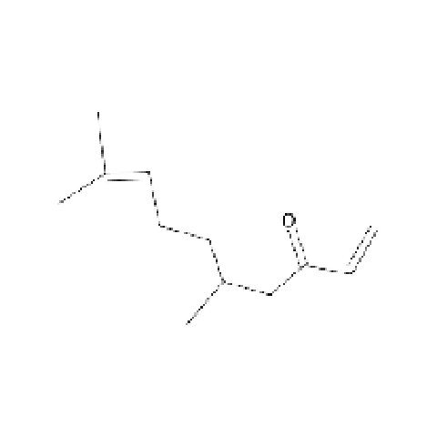 C=CC(=O)CC(C)CCC=C(C)C